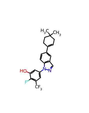 CC1(C)CC=C(c2ccc3c(cnn3-c3cc(O)c(F)c(C(F)(F)F)c3)c2)CC1